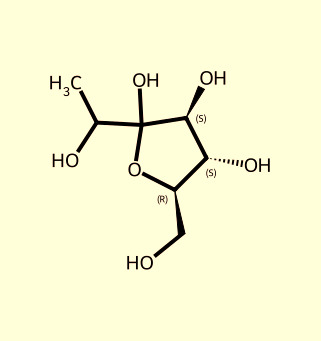 CC(O)C1(O)O[C@H](CO)[C@@H](O)[C@@H]1O